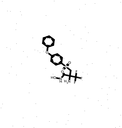 NC(CS(=O)(=O)c1ccc(Oc2ccccc2)cc1)(C(=O)NO)C(F)(F)F